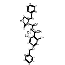 CCO[C@H](C(=O)N1C(=O)OCC1Cc1ccccc1)C(O)c1ccc(OCc2ccccc2)cc1F